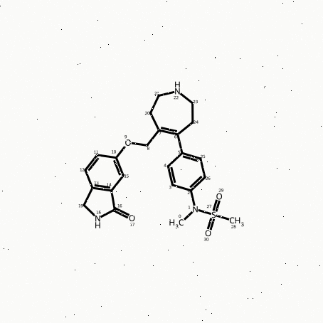 CN(c1ccc(C2=C(COc3ccc4c(c3)C(=O)NC4)CCNCC2)cc1)S(C)(=O)=O